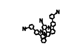 N#Cc1cccc(-c2ccc3c4ccccc4n(-c4cc(C#N)cc(-n5c6ccccc6c6ccc(-c7cccc(C#N)c7)cc65)c4-c4cccc(-c5ccccc5)n4)c3c2)c1